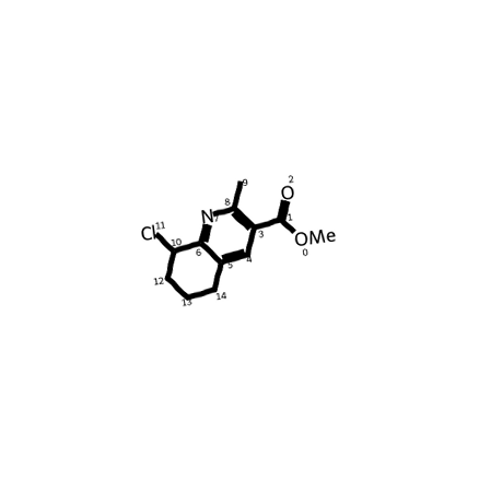 COC(=O)c1cc2c(nc1C)C(Cl)CCC2